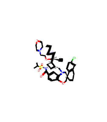 C#C[C@](/C=C/CC)(OCCN1CCOCC1)[C@@H]1CC[C@H]1CN1C[C@@]2(CCCc3cc(Cl)ccc32)COc2ccc(C(=O)NS(=O)(=O)C(C)C)cc21